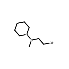 CN(CCO)N1CCCCC1